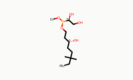 CCOP(OCC[C@H](O)CCC(C)(C)CC(C)(C)C)[C@@H](O)CO